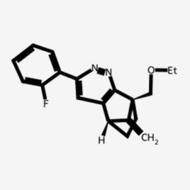 C=C1[C@@H]2CC[C@@]1(COCC)c1nnc(-c3ccccc3F)cc12